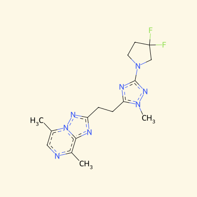 Cc1ncc(C)n2nc(CCc3nc(N4CCC(F)(F)C4)nn3C)nc12